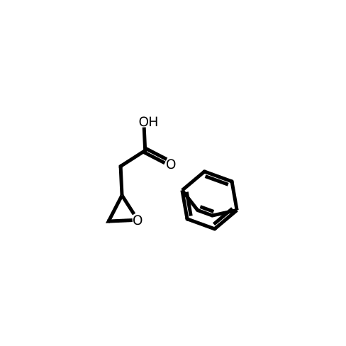 O=C(O)CC1CO1.c1cc2ccc1cc2